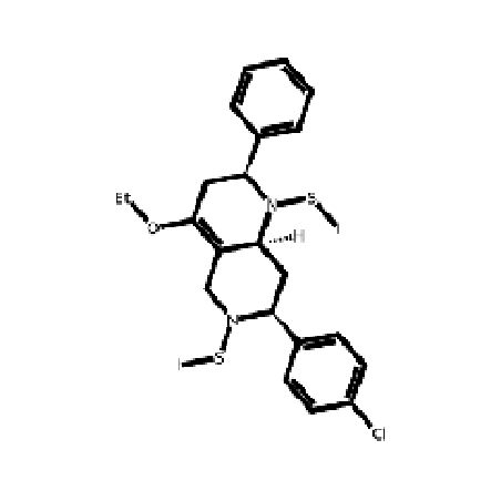 CCOC1=C2CN(SI)[C@H](c3ccc(Cl)cc3)C[C@@H]2N(SI)[C@H](c2ccccc2)C1